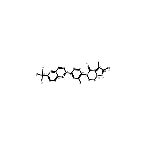 Cc1cc(-c2ccc3nc(C(F)(F)F)ccc3n2)ccc1N1CCn2nc(Br)c(C)c2C1=O